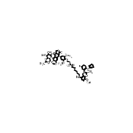 COc1ccc(NCCCCCCNC(O)CCOc2c(OC)cc([C@@H]3C4=CC5OCOC5C=C4[C@@H](OC4OC5COC(C)OC5C(O)C4O)[C@H]4COC(=O)[C@@H]43)cc2OC)c(CN(C(C)=O)C2=C(Oc3ccccc3)CCC(F)=C2)c1